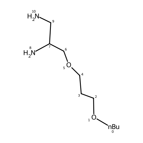 CCCCOCCCOCC(N)CN